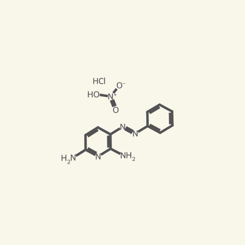 Cl.Nc1ccc(/N=N/c2ccccc2)c(N)n1.O=[N+]([O-])O